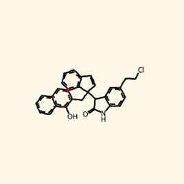 O=C1Nc2ccc(CCCl)cc2C1C1(Cc2ccc3ccccc3c2O)C=Cc2ccccc21